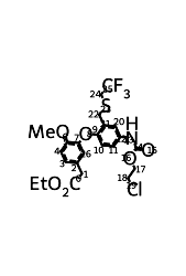 CCOC(=O)Cc1ccc(OC)c(Oc2ccc(NC(=O)OCCCl)cc2CSCC(F)(F)F)c1